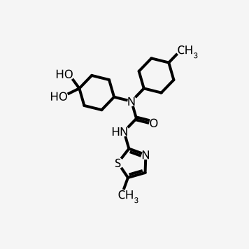 Cc1cnc(NC(=O)N(C2CCC(C)CC2)C2CCC(O)(O)CC2)s1